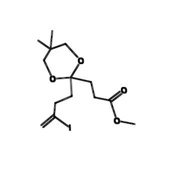 C=C(I)CCC1(CCC(=O)OC)OCC(C)(C)CO1